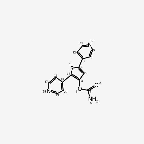 NC(=O)Oc1cc(-c2ccncc2)sc1-c1ccncc1